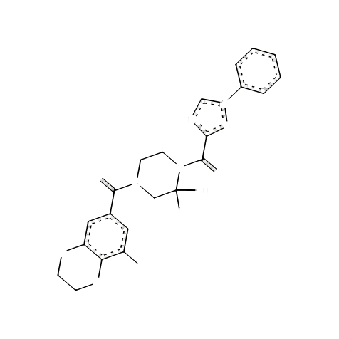 CC1(C)CN(C(=O)c2cc(Cl)c3c(c2)OCCO3)CCN1C(=O)c1ncn(-c2ccccc2)n1